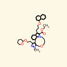 CCOC(=O)c1c(CCCOc2cccc3ccccc23)c2cccc3c2n1CCCCOCc1c-3c(CCOC2CCCCO2)nn1C